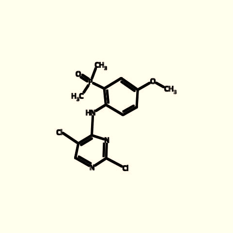 COc1ccc(Nc2nc(Cl)ncc2Cl)c(P(C)(C)=O)c1